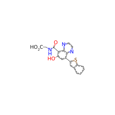 O=C(O)CNC(=O)c1c(O)cc(-c2cc3ccccc3s2)c2nccnc12